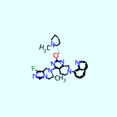 C[C@@H]1Cn2cnc(F)c2CN1c1nc(OC[C@H]2CCCCN2C)nc2c1CCN(c1cccc3cccnc13)C2